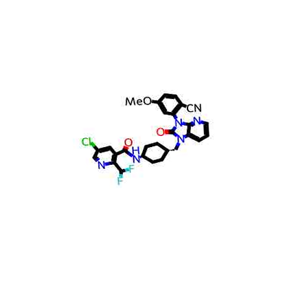 COc1ccc(C#N)c(-n2c(=O)n(C[C@H]3CC[C@H](NC(=O)c4cc(Cl)cnc4C(F)F)CC3)c3cccnc32)c1